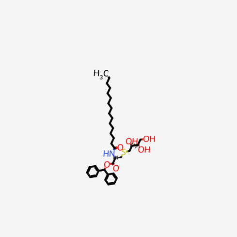 CCCCCCCCCCCCCCCC(=O)N[C@@H](CSC[C@H](O)[C@H](O)CO)C(=O)OC(c1ccccc1)c1ccccc1